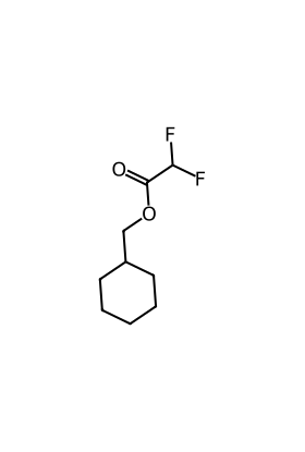 O=C(OCC1CCCCC1)C(F)F